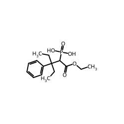 CCOC(=O)C(C(CC)(CC)c1ccccc1)P(=O)(O)O